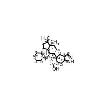 C=C1CC[C@H]2[C@H](CN3CCSCC3)[C@@H]([C@@]3(C)Cc4cn[nH]c4C[C@@H]3CO)CC[C@]12C